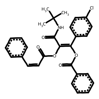 CC(C)(C)NC(=O)/C(OC(=O)/C=C\c1ccccc1)=C(/OC(=O)c1ccccc1)c1ccc(Cl)cc1